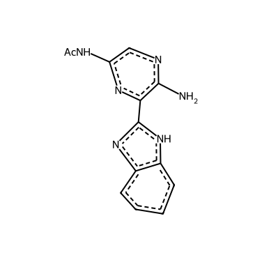 CC(=O)Nc1cnc(N)c(-c2nc3ccccc3[nH]2)n1